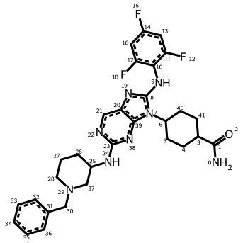 NC(=O)C1CCC(n2c(Nc3c(F)cc(F)cc3F)nc3cnc(NC4CCCN(Cc5ccccc5)C4)nc32)CC1